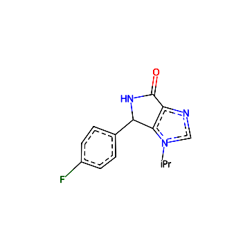 CC(C)n1cnc2c1C(c1ccc(F)cc1)NC2=O